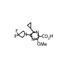 COc1nc(N2CC(F)(F)C2)c(C2CC2)nc1C(=O)O